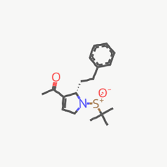 CC(=O)C1=CCN([S@+]([O-])C(C)(C)C)[C@H]1CCc1ccccc1